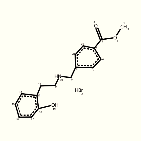 Br.COC(=O)c1ccc(CNCCc2ccccc2O)cc1